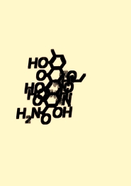 CCC(=O)O[C@H]1[C@H]2C(=C(O)[C@]3(O)C(=O)C(C(N)=O)=C(O)[C@@H](N(C)C)[C@H]13)C(=O)c1c(ccc(C)c1O)[C@@H]2C